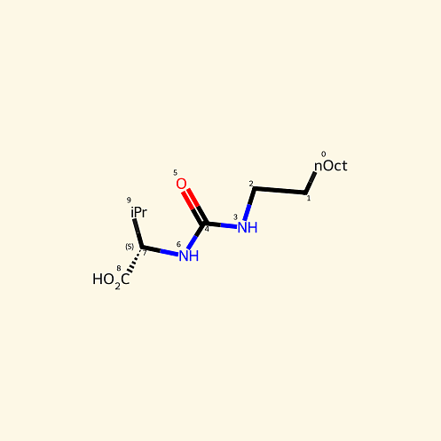 CCCCCCCCCCNC(=O)N[C@H](C(=O)O)C(C)C